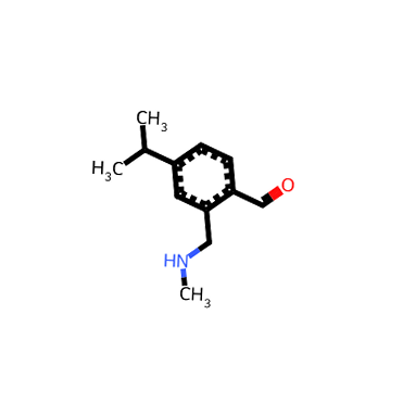 CNCc1cc(C(C)C)ccc1C=O